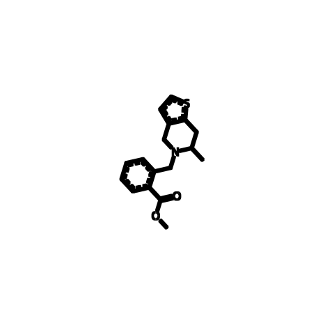 COC(=O)c1ccccc1CN1Cc2ccsc2CC1C